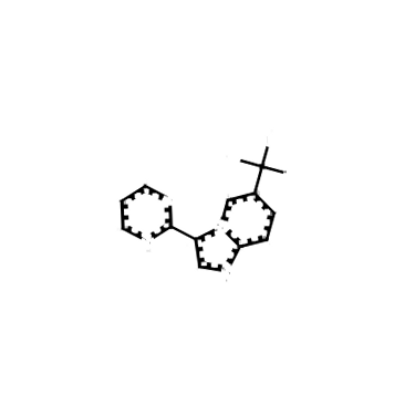 FC(F)(F)c1ccc2ncc(-c3ncccn3)n2c1